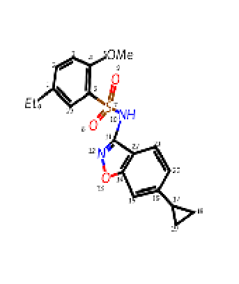 CCc1ccc(OC)c(S(=O)(=O)Nc2noc3cc(C4CC4)ccc23)c1